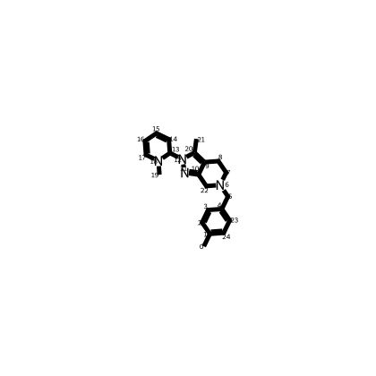 Cc1ccc(CN2CCc3c(nn(C4C=CC=CN4C)c3C)C2)cc1